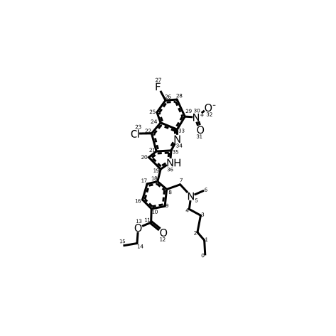 CCCCCN(C)Cc1cc(C(=O)OCC)ccc1-c1cc2c(Cl)c3cc(F)cc([N+](=O)[O-])c3nc2[nH]1